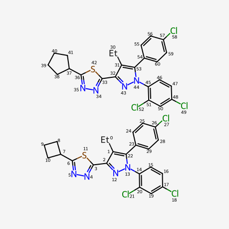 CCc1c(-c2nnc(C3CCC3)s2)nn(-c2ccc(Cl)cc2Cl)c1-c1ccc(Cl)cc1.CCc1c(-c2nnc(C3CCCC3)s2)nn(-c2ccc(Cl)cc2Cl)c1-c1ccc(Cl)cc1